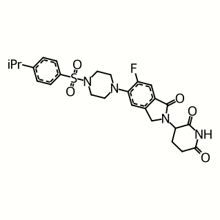 CC(C)c1ccc(S(=O)(=O)N2CCN(c3cc4c(cc3F)C(=O)N(C3CCC(=O)NC3=O)C4)CC2)cc1